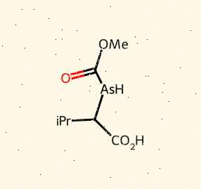 COC(=O)[AsH]C(C(=O)O)C(C)C